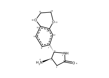 N[C@@H]1CC(=O)N[C@H]1c1ccc2c(c1)OCCO2